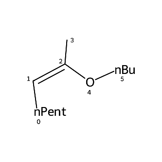 CCCCCC=C(C)OCCCC